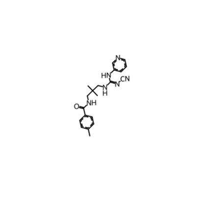 Cc1ccc(C(=O)NCC(C)(C)CNC(=NC#N)Nc2cccnc2)cc1